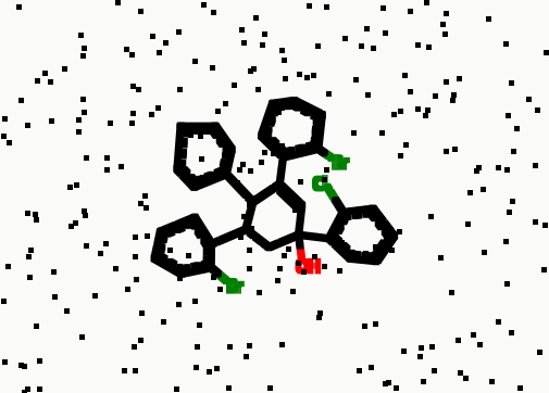 OC1(c2ccccc2Cl)C=C(c2ccccc2Br)C(c2ccccc2)C(c2ccccc2Br)C1